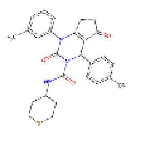 N#Cc1ccc(C2C3=C(CCC3=O)N(c3cccc(C(F)(F)F)c3)C(=O)N2C(=O)NC2CCSCC2)cc1